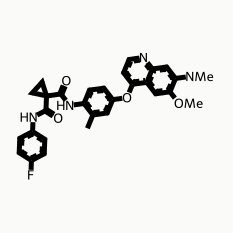 CNc1cc2nccc(Oc3ccc(NC(=O)C4(C(=O)Nc5ccc(F)cc5)CC4)c(C)c3)c2cc1OC